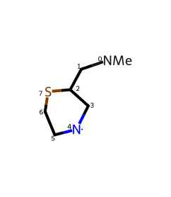 CNCC1C[N]CCS1